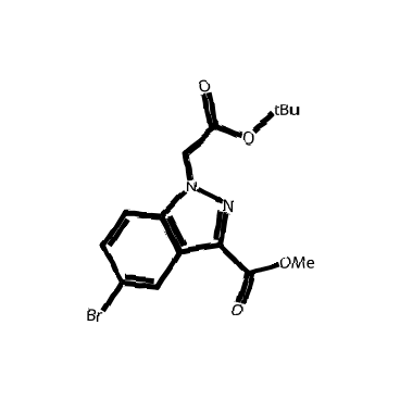 COC(=O)c1nn(CC(=O)OC(C)(C)C)c2ccc(Br)cc12